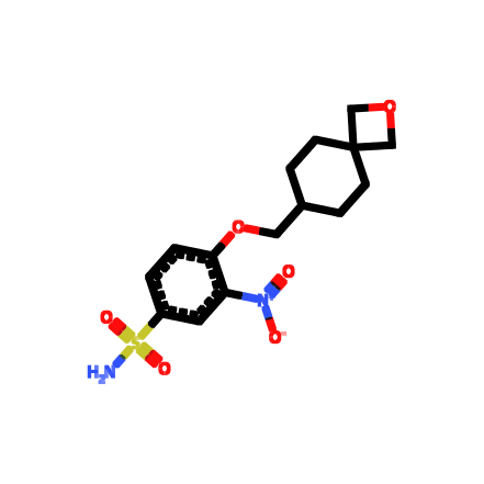 NS(=O)(=O)c1ccc(OCC2CCC3(CC2)COC3)c([N+](=O)[O-])c1